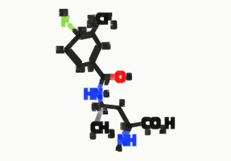 C[C@@H](CC(=N)C(=O)O)NC(=O)c1ccc(F)c(C(F)(F)F)c1